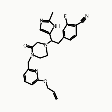 C=CCOc1cccc(CN2CCN(C(Cc3ccc(C#N)c(F)c3)c3cnc(C)[nH]3)CC2=O)n1